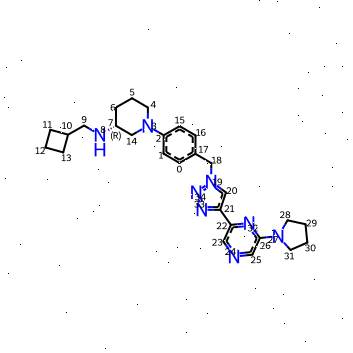 c1cc(N2CCC[C@@H](NCC3CCC3)C2)ccc1Cn1cc(-c2cncc(N3CCCC3)n2)nn1